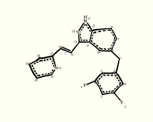 Fc1cc(F)cc(Cc2ccc3[nH]nc(/C=C/c4ccccn4)c3c2)c1